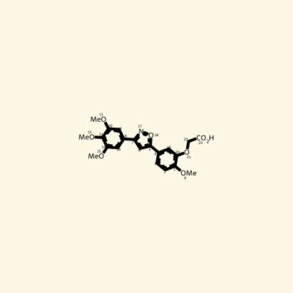 COc1ccc(-c2cc(-c3cc(OC)c(OC)c(OC)c3)no2)cc1OCC(=O)O